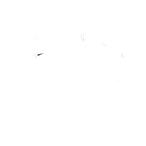 CC(C)CS(=O)(=O)N[C@H]1CC[C@H](Nc2nc(N)c(C(=O)c3cccc(F)c3)s2)CC1